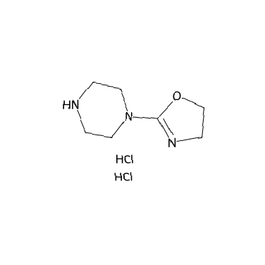 C1COC(N2CCNCC2)=N1.Cl.Cl